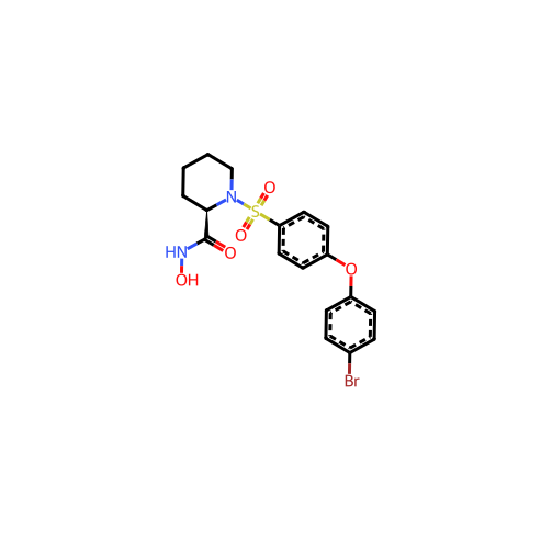 O=C(NO)[C@H]1CCCCN1S(=O)(=O)c1ccc(Oc2ccc(Br)cc2)cc1